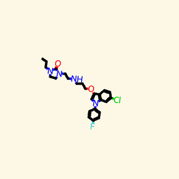 CCCN1CCN(CCNCCCOc2cn(-c3ccc(F)cc3)c3cc(Cl)ccc23)C1=O